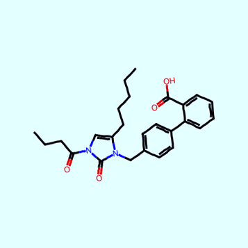 CCCCCc1cn(C(=O)CCC)c(=O)n1Cc1ccc(-c2ccccc2C(=O)O)cc1